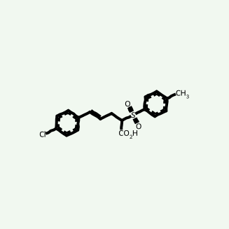 Cc1ccc(S(=O)(=O)C(C/C=C/c2ccc(Cl)cc2)C(=O)O)cc1